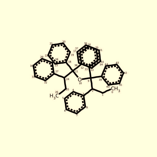 CCC(c1ccccc1)C(OC(c1ccccc1)(c1ccccc1)C(CC)c1ccccc1)(c1ccccc1)c1ccccc1